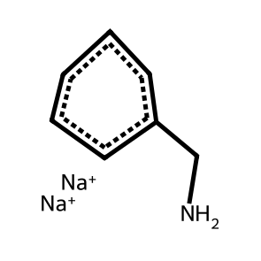 NCc1ccccc1.[Na+].[Na+]